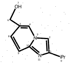 CC(C)c1cn2cc(CO)ccc2n1